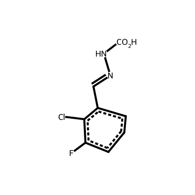 O=C(O)N/N=C/c1cccc(F)c1Cl